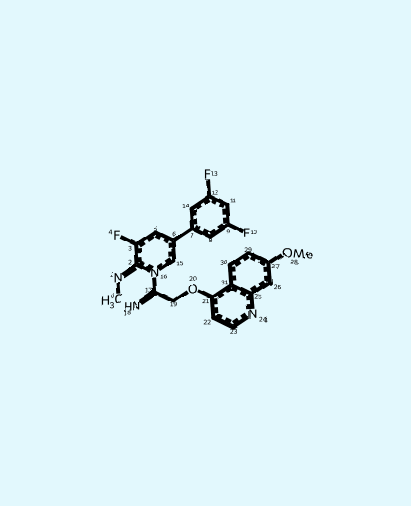 C/N=c1/c(F)cc(-c2cc(F)cc(F)c2)cn1C(=N)COc1ccnc2cc(OC)ccc12